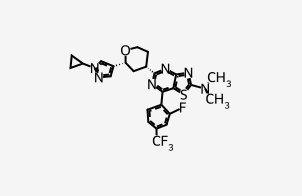 CN(C)c1nc2nc([C@H]3CCO[C@@H](c4cnn(C5CC5)c4)C3)nc(-c3ccc(C(F)(F)F)cc3F)c2s1